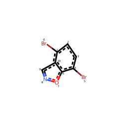 Brc1ccc(Br)c2oncc12